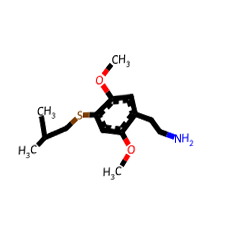 COc1cc(SCC(C)C)c(OC)cc1CCN